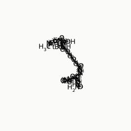 CC1=C[SH](c2ccc(CNC(=O)[C@@H]3C[C@@H](O)CN3C(=O)[C@@H](NC(=O)CCOCCOCCOCCOCCC(=O)N3CCN(Cc4ccc(NC(=O)c5coc(N6CCOCC6)n5)c(N5CCC(C(N)=O)CC5)c4)CC3)C(C)(C)C)cc2)C=N1